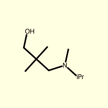 CC(C)N(C)CC(C)(C)CO